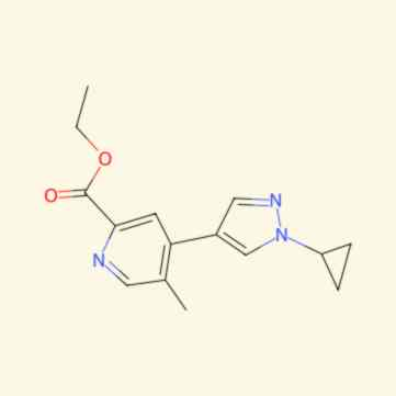 CCOC(=O)c1cc(-c2cnn(C3CC3)c2)c(C)cn1